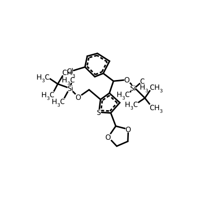 CC(C)(C)[Si](C)(C)OCc1sc(C2OCCO2)cc1C(O[Si](C)(C)C(C)(C)C)c1cccc(Cl)c1